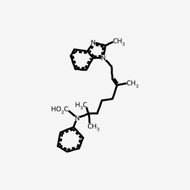 C/C(=C\Cn1c(C)nc2ccccc21)CCCC(C)(C)N(C(=O)O)c1ccccc1